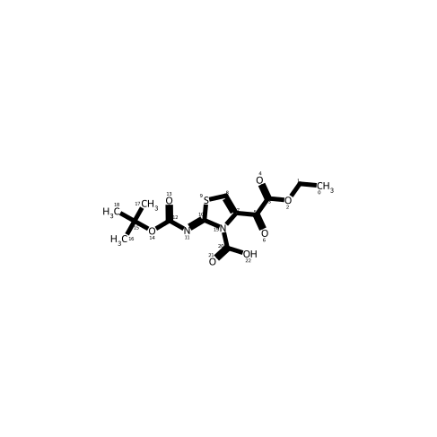 CCOC(=O)C(=O)c1cs/c(=N\C(=O)OC(C)(C)C)n1C(=O)O